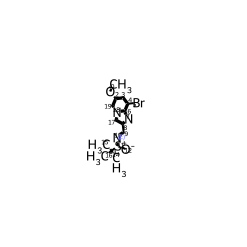 COc1cc(Br)c2nc(/C=N/[S+]([O-])C(C)(C)C)cn2c1